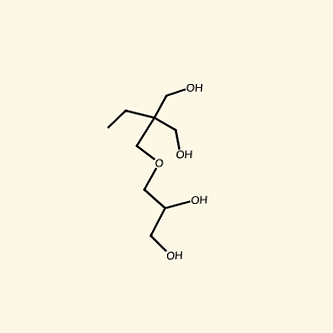 CCC(CO)(CO)COCC(O)CO